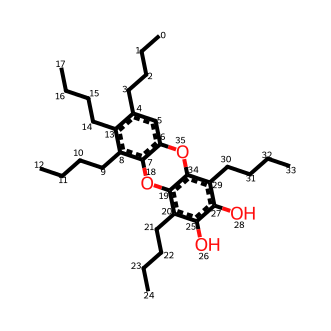 CCCCc1cc2c(c(CCCC)c1CCCC)Oc1c(CCCC)c(O)c(O)c(CCCC)c1O2